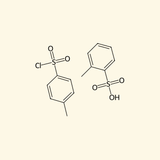 Cc1ccc(S(=O)(=O)Cl)cc1.Cc1ccccc1S(=O)(=O)O